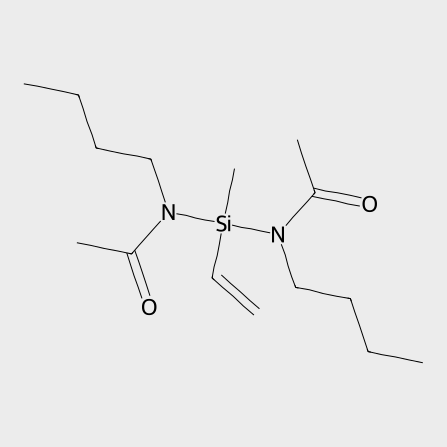 C=C[Si](C)(N(CCCC)C(C)=O)N(CCCC)C(C)=O